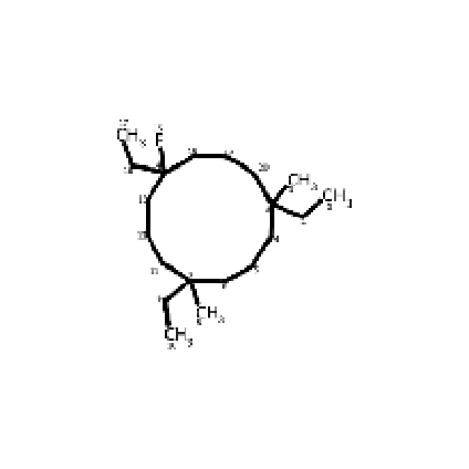 CCC1(C)CCCC(C)(CC)CCCC(F)(CC)CCC1